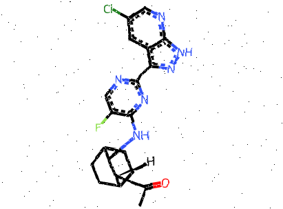 CC(=O)[C@@H]1C2CCC(CC2)C1Nc1nc(-c2n[nH]c3ncc(Cl)cc23)ncc1F